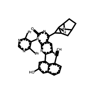 C#Cc1cccc2cc(O)cc(-c3nc4c(cc3F)c(C3C5CC6CCC(N6)[C@H]53)nc(=O)n4-c3c(C(C)C)ncnc3C(C)C)c12